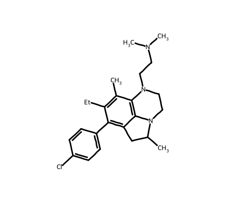 CCc1c(C)c2c3c(c1-c1ccc(Cl)cc1)CC(C)N3CCN2CCN(C)C